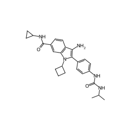 CC(C)NC(=O)Nc1ccc(-c2c(N)c3ccc(C(=O)NC4CC4)cc3n2C2CCC2)cc1